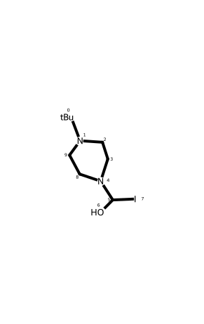 CC(C)(C)N1CCN(C(O)I)CC1